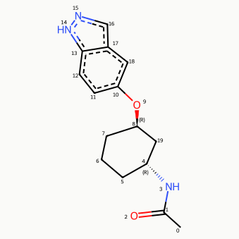 CC(=O)N[C@@H]1CCC[C@@H](Oc2ccc3[nH]ncc3c2)C1